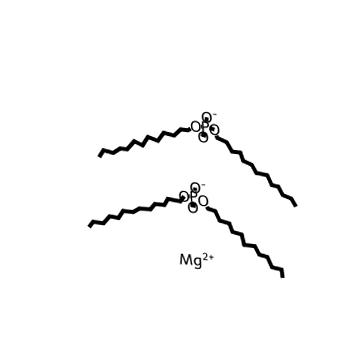 CCCCCCCCCCCCCOP(=O)([O-])OCCCCCCCCCCCCC.CCCCCCCCCCCCCOP(=O)([O-])OCCCCCCCCCCCCC.[Mg+2]